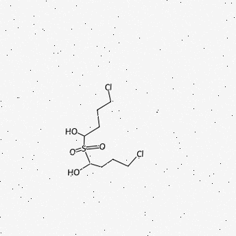 O=S(=O)(C(O)CCCCl)C(O)CCCCl